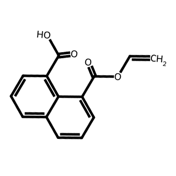 C=COC(=O)c1cccc2cccc(C(=O)O)c12